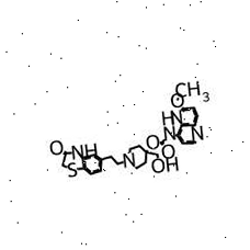 COc1ccc2nccc(NC(=O)OC3(CO)CCN(CCc4ccc5c(c4)NC(=O)CS5)CC3)c2n1